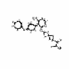 C=C(C#N)C(=O)N1CC2(CC(Oc3ncnc(N)c3-c3ccc(Oc4cccnc4)cc3)C2)C1